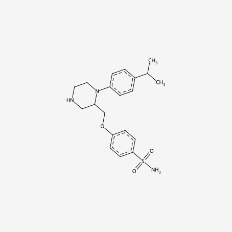 CC(C)c1ccc(N2CCNCC2COc2ccc(S(N)(=O)=O)cc2)cc1